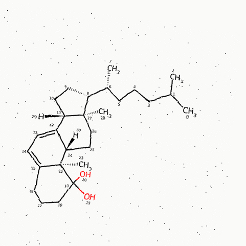 CC(C)CCC[C@@H](C)[C@H]1CC[C@H]2C3=CC=C4CCCC(O)(O)[C@]4(C)[C@H]3CC[C@]12C